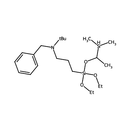 CCO[Si](CCCN(Cc1ccccc1)C(C)(C)C)(OCC)OC(C)[SiH](C)C